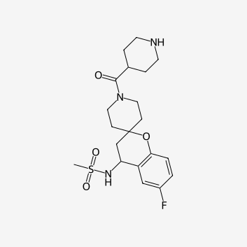 CS(=O)(=O)NC1CC2(CCN(C(=O)C3CCNCC3)CC2)Oc2ccc(F)cc21